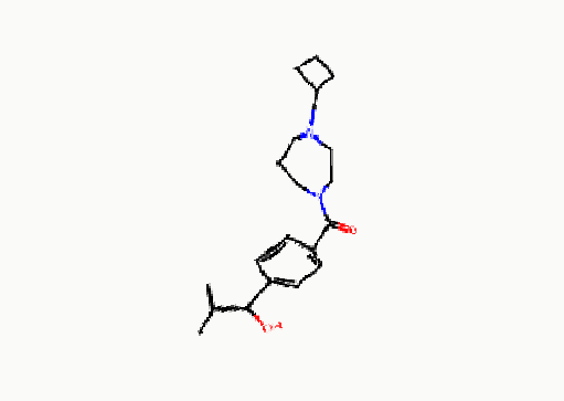 CC(C)C(O)c1ccc(C(=O)N2CCCN(C3CCC3)CC2)cc1